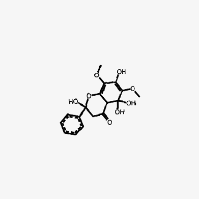 COC1=C2OC(O)(c3ccccc3)CC(=O)C2C(O)(O)C(OC)=C1O